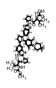 COC(=O)N[C@H](C(=O)N1CCC[C@H]1c1nc2cc([C@H]3CC[C@H](c4ccc5[nH]c([C@@H]6CCCN6C(=O)[C@@H](NC(=O)O)C(C)C)nc5c4)N3c3cc(F)c(N4CCC(F)(F)CC4)c(F)c3)ccc2[nH]1)C(C)C